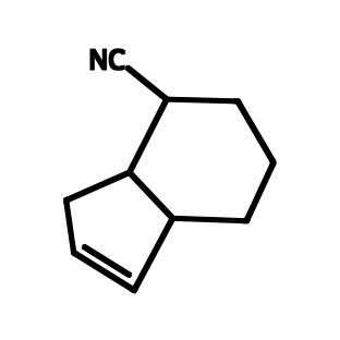 N#CC1CCCC2C=CCC12